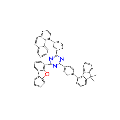 CC1(C)c2ccccc2-c2c(-c3ccc(-c4nc(-c5cccc(-c6cccc7ccc8ccccc8c67)c5)nc(-c5cccc6c5oc5ccccc56)n4)cc3)cccc21